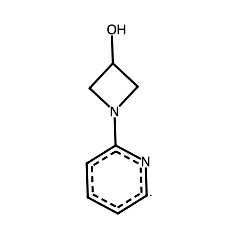 OC1CN(c2ccc[c]n2)C1